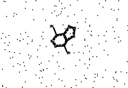 CC(C)c1nnc(C(C)C)c2nsnc12